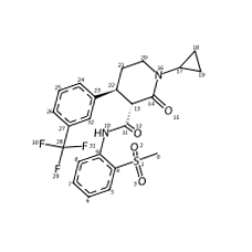 CS(=O)(=O)c1ccccc1NC(=O)[C@H]1C(=O)N(C2CC2)CC[C@@H]1c1cccc(C(F)(F)F)c1